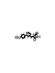 CC(C)(C)c1ccc(-c2cc(/C=C3\SC(=O)NC3=O)ccn2)cc1